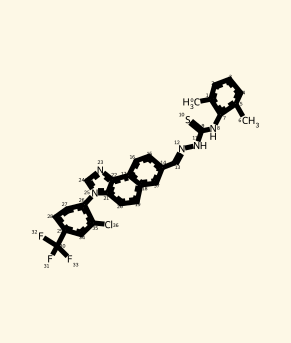 Cc1cccc(C)c1NC(=S)N/N=C/c1ccc2c(ccc3c2ncn3-c2ccc(C(F)(F)F)cc2Cl)c1